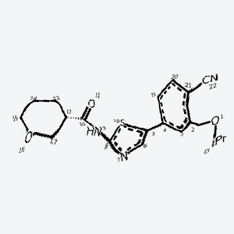 CC(C)Oc1cc(-c2cnc(NC(=O)[C@H]3CCCOC3)s2)ccc1C#N